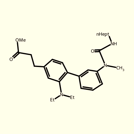 CCCCCCCNC(=O)N(C)c1cccc(-c2ccc(CCC(=O)OC)cc2N(CC)CC)c1